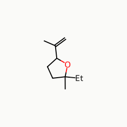 C=C(C)C1CCC(C)(CC)O1